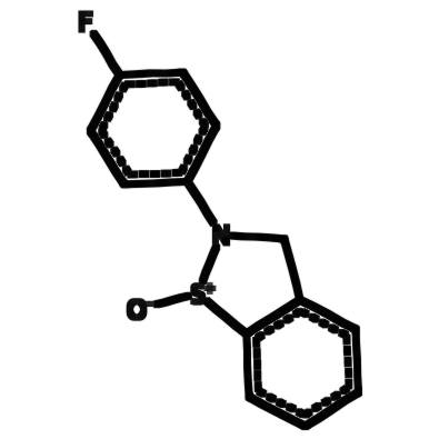 [O-][S+]1c2ccccc2CN1c1ccc(F)cc1